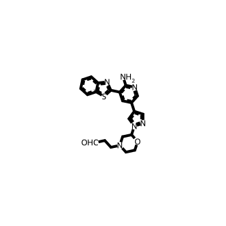 Nc1ncc(-c2cnn(C3CN(CCC=O)CCO3)c2)cc1-c1nc2ccccc2s1